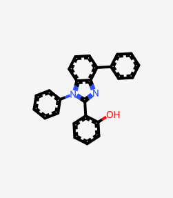 Oc1ccccc1-c1nc2c(-c3ccccc3)cccc2n1-c1ccccc1